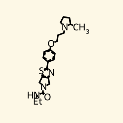 CCNC(=O)N1Cc2nc(-c3ccc(OCCCN4CCCC4C)cc3)sc2C1